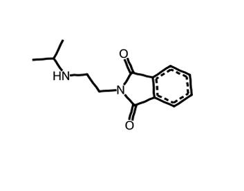 CC(C)NCCN1C(=O)c2ccccc2C1=O